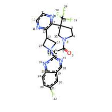 CC(=O)N1CCC(c2nccnc2C2CN(c3ncc4cc(F)ccc4n3)C2)(C(F)(F)F)C1